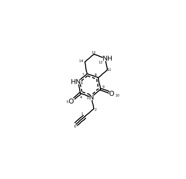 C#CCn1c(=O)[nH]c2c(c1=O)CNCC2